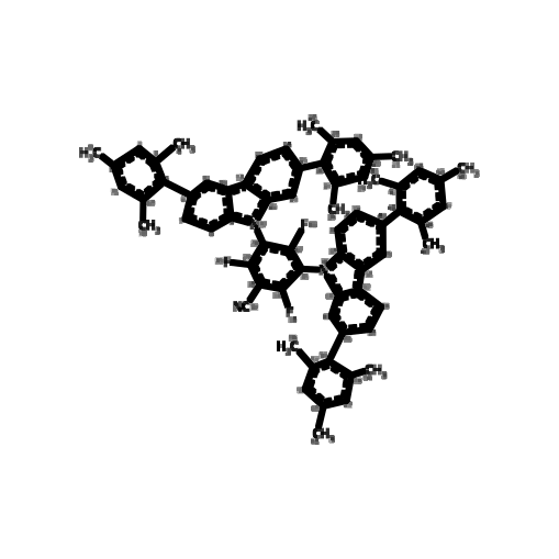 Cc1cc(C)c(-c2ccc3c(c2)c2ccc(-c4c(C)cc(C)cc4C)cc2n3-c2c(F)c(C#N)c(F)c(-n3c4ccc(-c5c(C)cc(C)cc5C)cc4c4ccc(-c5c(C)cc(C)cc5C)cc43)c2F)c(C)c1